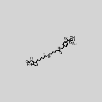 CCC(C)OP(=O)(O)C(Br)c1ccc(CNC(=O)CCCCCNC(=O)CCCCC2SCC3NC(=O)NC32)cc1